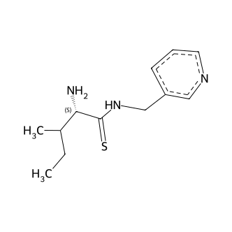 CCC(C)[C@H](N)C(=S)NCc1cccnc1